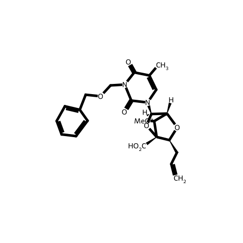 C=CC[C@@H]1O[C@H]2[C@H](n3cc(C)c(=O)n(COCc4ccccc4)c3=O)O[C@]1(C(=O)O)[C@H]2OC